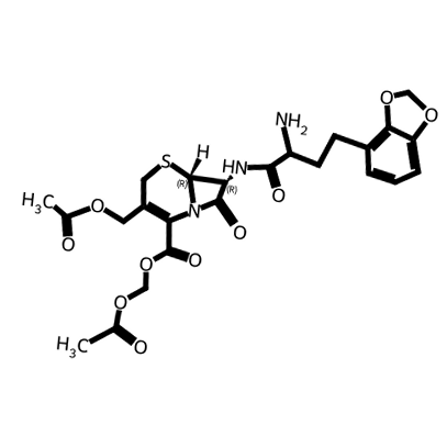 CC(=O)OCOC(=O)C1=C(COC(C)=O)CS[C@@H]2[C@H](NC(=O)C(N)CCc3cccc4c3OCO4)C(=O)N12